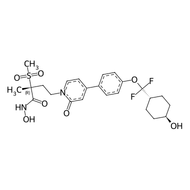 C[C@@](CCn1ccc(-c2ccc(OC(F)(F)[C@H]3CC[C@H](O)CC3)cc2)cc1=O)(C(=O)NO)S(C)(=O)=O